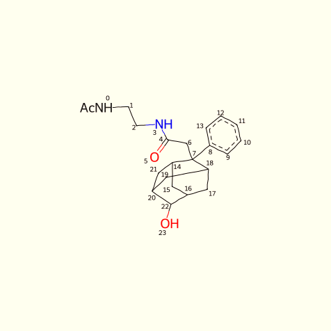 CC(=O)NCCNC(=O)CC1(c2ccccc2)C2CC3CC1CC(C2)C3O